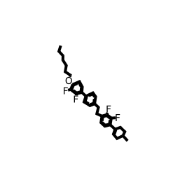 CCCCCCCOc1ccc(-c2ccc(CCc3ccc(C4=CCC(C)CC4)c(F)c3F)cc2)c(F)c1F